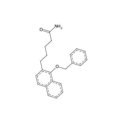 NC(=O)CCCCc1ccc2ccccc2c1OCc1ccccc1